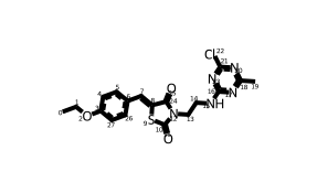 CCOc1ccc(/C=C2\SC(=O)N(CCNc3nc(C)nc(Cl)n3)C2=O)cc1